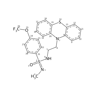 CN=S(=O)(NCCN1c2ccccc2Sc2ccccc21)c1ccc(OC(F)(F)F)cc1